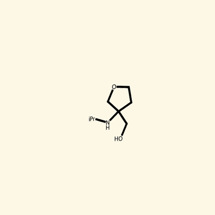 CC(C)NC1(CO)CCOC1